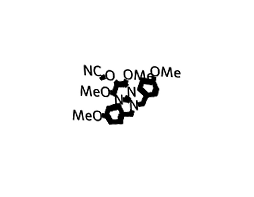 COc1ccc(CN(Cc2ccc(OC)cc2)c2nc(OC)c(OCC#N)c(OC)n2)cc1